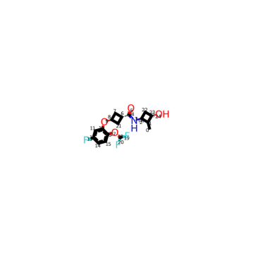 CC1[C@@H](NC(=O)[C@H]2C[C@H](Oc3cc(F)ccc3OC(F)F)C2)C[C@@H]1O